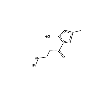 Cc1ccc(C(=O)CCNC(C)C)s1.Cl